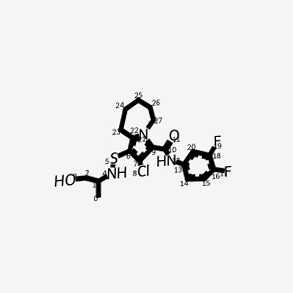 CC(CO)NSc1c(Cl)c(C(=O)Nc2ccc(F)c(F)c2)n2c1CCCCC2